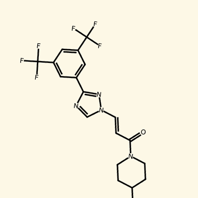 O=C(C=Cn1cnc(-c2cc(C(F)(F)F)cc(C(F)(F)F)c2)n1)N1CCC(O)CC1